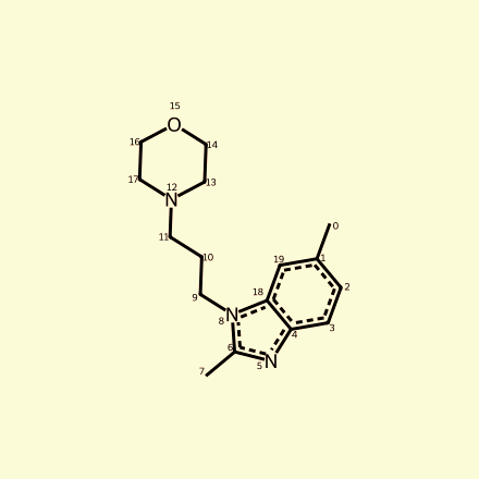 Cc1ccc2nc(C)n(CCCN3CCOCC3)c2c1